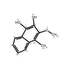 COc1c(O)c(O)c2ccccc2c1C